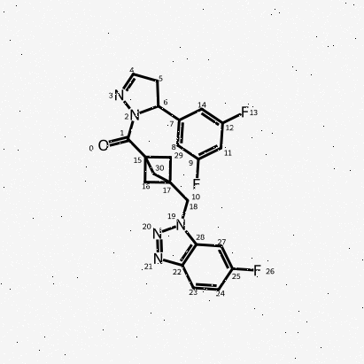 O=C(N1N=CCC1c1cc(F)cc(F)c1)C12CC(Cn3nnc4ccc(F)cc43)(C1)C2